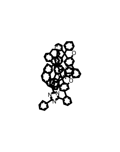 C1=Cc2cc(-c3nc(-c4ccccc4)nc(-c4ccccc4-c4ccc5c(c4)Oc4ccccc4C54c5ccccc5-c5cc(-c6ccc7ccc8cc(-c9nc(-c%10ccccc%10)nc(-c%10ccccc%10-c%10ccc%11c(c%10)Oc%10ccccc%10C%11%10c%11ccccc%11-c%11ccccc%11%10)n9)ccc8c7c6)ccc54)n3)cc3cccc(c23)C1